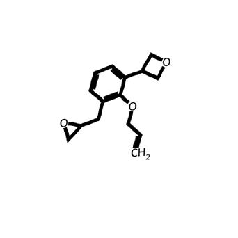 C=CCOc1c(CC2CO2)cccc1C1COC1